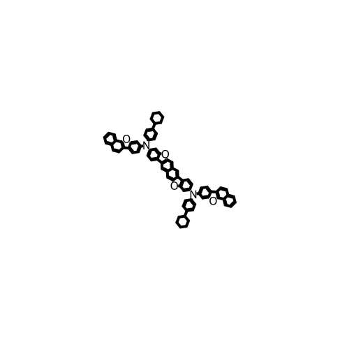 c1ccc2c(c1)ccc1c3ccc(N(c4ccc(C5CCCCC5)cc4)c4ccc5c(c4)oc4cc6cc7c(cc6cc45)oc4cc(N(c5ccc(C6CCCCC6)cc5)c5ccc6c(c5)oc5c8ccccc8ccc65)ccc47)cc3oc21